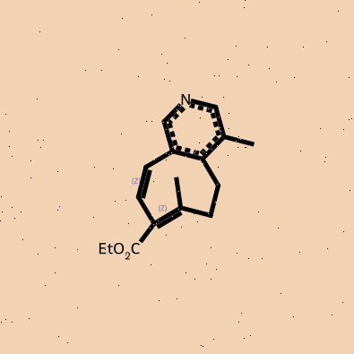 CCOC(=O)C1=C(/C)CCc2c(C)cncc2/C=C\1